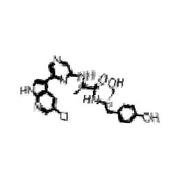 C[C@@H](Nc1cncc(-c2c[nH]c3ncc(Cl)cc23)n1)C(=O)N[C@H](CO)Cc1ccc(O)cc1